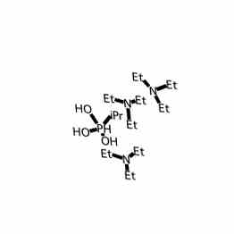 CC(C)[PH](O)(O)O.CCN(CC)CC.CCN(CC)CC.CCN(CC)CC